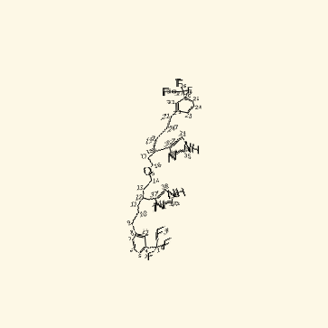 FC(F)(F)c1cccc(CCCC(CCOCCC(CCCc2cccc(C(F)(F)F)c2)c2c[nH]cn2)c2c[nH]cn2)c1